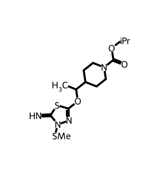 CSn1nc(OC(C)C2CCN(C(=O)OC(C)C)CC2)sc1=N